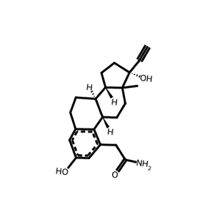 C#C[C@]1(O)CC[C@H]2[C@@H]3CCc4cc(O)cc(CC(N)=O)c4[C@H]3CCC21C